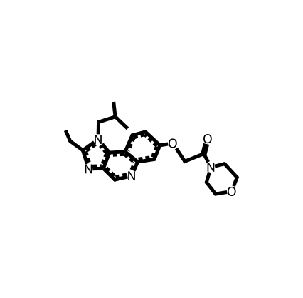 CCc1nc2cnc3cc(OCC(=O)N4CCOCC4)ccc3c2n1CC(C)C